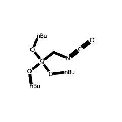 CCCCO[Si](CN=C=O)(OCCCC)OCCCC